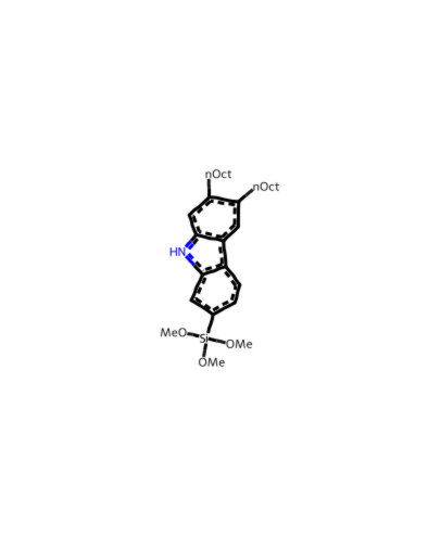 CCCCCCCCc1cc2[nH]c3cc([Si](OC)(OC)OC)ccc3c2cc1CCCCCCCC